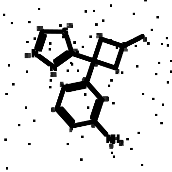 CC1CC(c2cccc(N)c2)(c2nncs2)C1